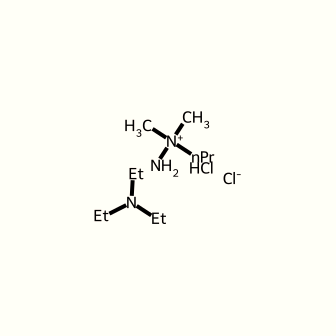 CCC[N+](C)(C)N.CCN(CC)CC.Cl.[Cl-]